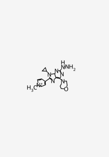 C[n+]1ccc(-c2nc3c(N4CCOCC4)nc(NN)nc3n2C2CC2)cc1